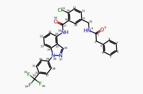 O=C(Cc1ccccc1)NCc1ccc(Cl)c(C(=O)Nc2cccc3c2cnn3-c2ccc(C(F)(F)F)cc2)c1